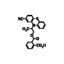 CC(COC(=O)c1ccccc1C(=O)O)N1c2ccccc2Sc2ccc(C#N)cc21